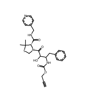 C#CCOC(=O)NC(Cc1ccccc1)C(O)C(=O)N1CSC(C)(C)[C@H]1C(=O)NCc1ccncc1